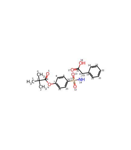 CC(C)(C)C(=O)Oc1ccc(S(=O)(=O)N[C@H](C(=O)O)c2ccccc2)cc1